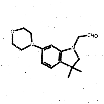 CC1(C)CN(CC=O)c2cc(N3CCOCC3)ccc21